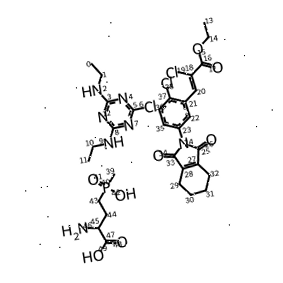 CCNc1nc(Cl)nc(NCC)n1.CCOC(=O)/C(Cl)=C/c1cc(N2C(=O)C3=C(CCCC3)C2=O)ccc1Cl.CP(=O)(O)CCC(N)C(=O)O